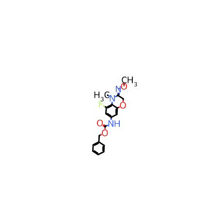 CON=C1COc2cc(NC(=O)OCc3ccccc3)cc(F)c2N1C